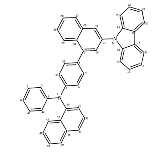 c1ccc(N(c2ccc(-c3cc(-n4c5ccccc5c5ccccc54)cc4ccccc34)cc2)c2cccc3ccccc23)cc1